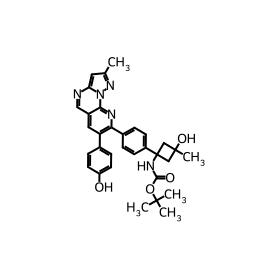 Cc1cc2ncc3cc(-c4ccc(O)cc4)c(-c4ccc(C5(NC(=O)OC(C)(C)C)CC(C)(O)C5)cc4)nc3n2n1